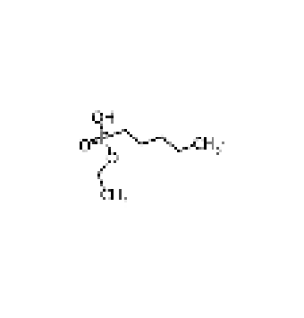 [CH2]CCCCP(=O)(O)OCC